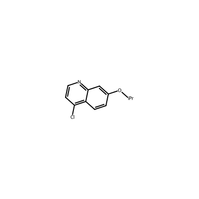 CC(C)Oc1ccc2c(Cl)ccnc2c1